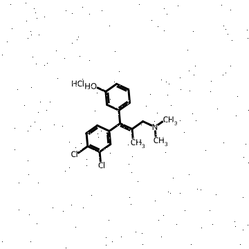 CC(CN(C)C)=C(c1cccc(O)c1)c1ccc(Cl)c(Cl)c1.Cl